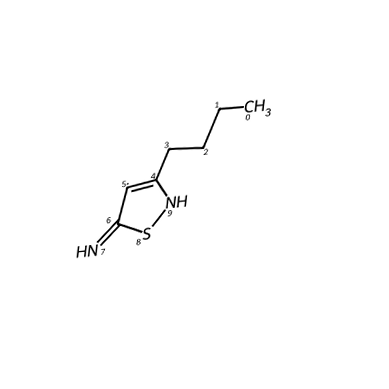 CCCCc1[c]c(=N)s[nH]1